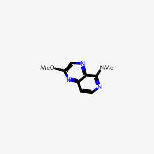 CNc1nccc2nc(OC)cnc12